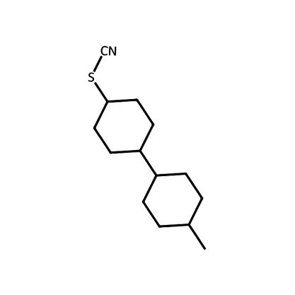 CC1CCC(C2CCC(SC#N)CC2)CC1